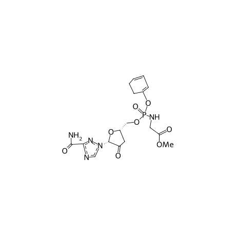 COC(=O)CNP(=O)(OC[C@@H]1CC(=O)[C@H](n2cnc(C(N)=O)n2)O1)OC1=CC=CCC1